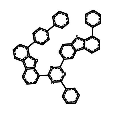 c1ccc(-c2ccc(-c3cccc4c3oc3c(-c5nc(-c6ccccc6)nc(-c6ccc7sc8c(-c9ccccc9)cccc8c7c6)n5)cccc34)cc2)cc1